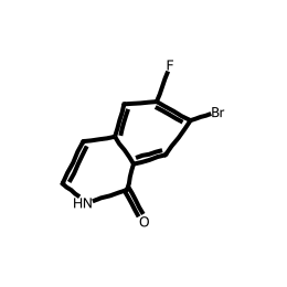 O=c1[nH]ccc2cc(F)c(Br)cc12